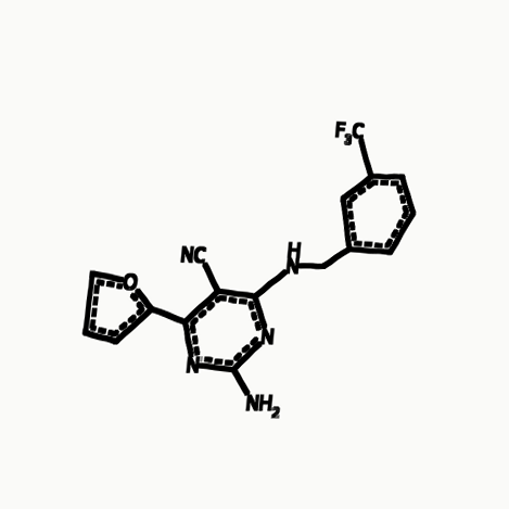 N#Cc1c(NCc2cccc(C(F)(F)F)c2)nc(N)nc1-c1ccco1